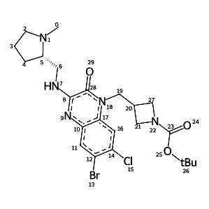 CN1CCC[C@H]1CNc1nc2cc(Br)c(Cl)cc2n(CC2CN(C(=O)OC(C)(C)C)C2)c1=O